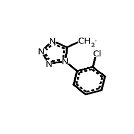 [CH2]c1nnnn1-c1ccccc1Cl